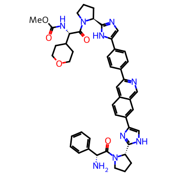 COC(=O)N[C@H](C(=O)N1CCC[C@H]1c1ncc(-c2ccc(-c3cc4ccc(-c5c[nH]c([C@@H]6CCCN6C(=O)[C@H](N)c6ccccc6)n5)cc4cn3)cc2)[nH]1)C1CCOCC1